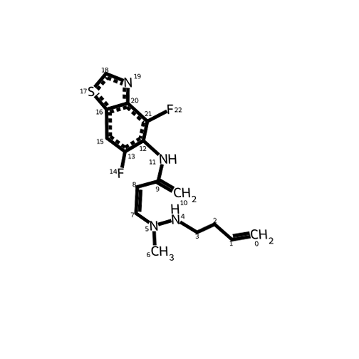 C=CCCNN(C)/C=C\C(=C)Nc1c(F)cc2scnc2c1F